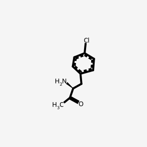 CC(=O)[C@@H](N)Cc1ccc(Cl)cc1